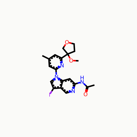 COC1(c2cc(C)cc(-n3cc(I)c4cnc(NC(C)=O)cc43)n2)CCOC1